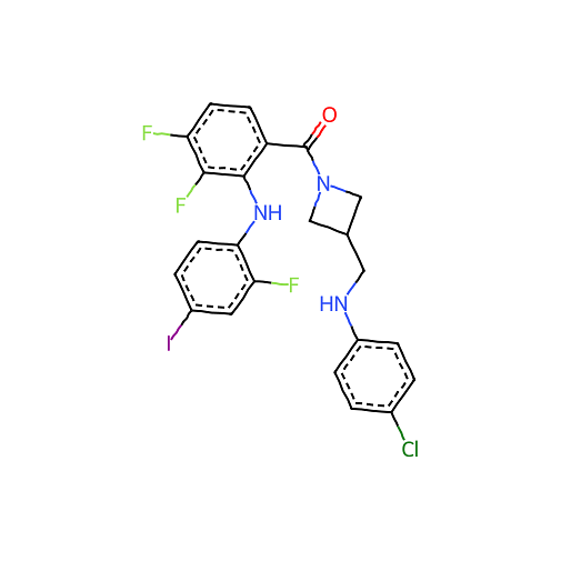 O=C(c1ccc(F)c(F)c1Nc1ccc(I)cc1F)N1CC(CNc2ccc(Cl)cc2)C1